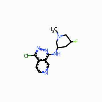 CN1CC(F)CC(Nc2nnc(Cl)c3ccncc23)C1